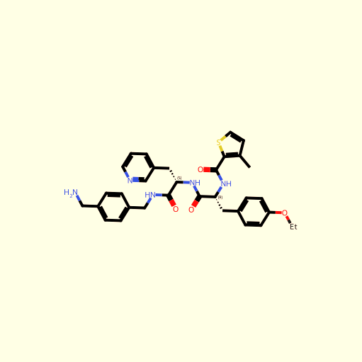 CCOc1ccc(C[C@@H](NC(=O)c2sccc2C)C(=O)N[C@@H](Cc2cccnc2)C(=O)NCc2ccc(CN)cc2)cc1